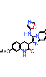 COc1ccc2c(c1)NC(=O)C(c1nc3ccc(C)cn3c1Nc1cnco1)C2